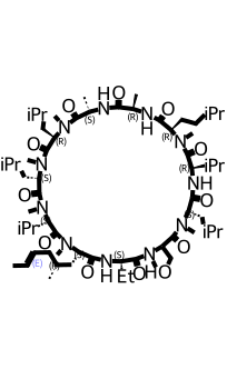 C/C=C/C[C@@H](C)C[C@H]1C(=O)N[C@@H](CC)C(=O)N(C)C(CO)C(=O)N(C)[C@@H](CC(C)C)C(=O)N[C@H](C(C)C)C(=O)N(C)[C@H](CCC(C)C)C(=O)N[C@H](C)C(=O)N[C@@H](C)C(=O)N(C)[C@H](CC(C)C)C(=O)N(C)[C@@H](CC(C)C)C(=O)N(C)[C@@H](C(C)C)C(=O)N1C